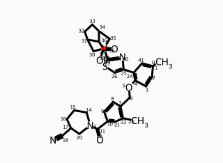 Cc1ccc(OCc2ccc(C(=O)N3CCCC(C#N)C3)cc2C)c(-c2csc(N3CC4CCC(C3)C4C(=O)O)n2)c1